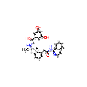 CC(C)(Cc1cccc(CC(=O)Nc2nccc3ccccc23)c1)NCC(O)c1cc(O)cc(O)c1